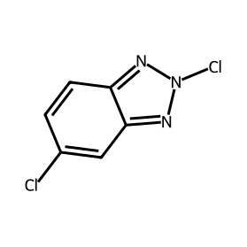 Clc1ccc2nn(Cl)nc2c1